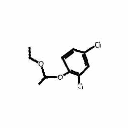 CCOC(C)Oc1ccc(Cl)cc1Cl